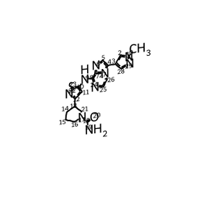 Cn1cc(-c2cnc3c(Nc4cc(C5CCCN(C(N)=O)C5)ns4)nccn23)cn1